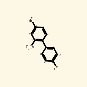 Fc1ccc(-c2ccc(Br)cc2C(F)(F)F)cc1